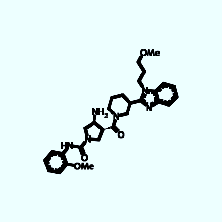 COCCCn1c(C2CCCN(C(=O)[C@@H]3CN(C(=O)Nc4ccccc4OC)C[C@H]3N)C2)nc2ccccc21